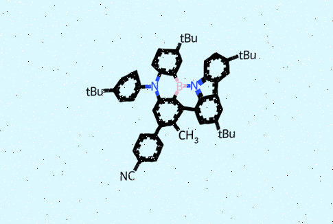 Cc1c(-c2ccc(C#N)cc2)cc2c3c1-c1cc(C(C)(C)C)cc4c5cc(C(C)(C)C)ccc5n(c14)B3c1cc(C(C)(C)C)ccc1N2c1ccc(C(C)(C)C)cc1